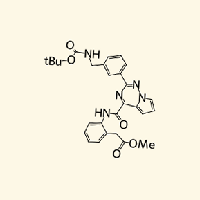 COC(=O)Cc1ccccc1NC(=O)c1nc(-c2cccc(CNC(=O)OC(C)(C)C)c2)nn2cccc12